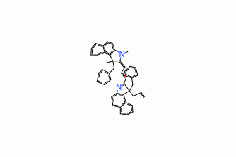 C=CCC1(Cc2ccccc2)C(/C=C/C=C2/N(C)c3ccc4ccccc4c3C2(C)Cc2ccccc2)=Nc2ccc3ccccc3c21